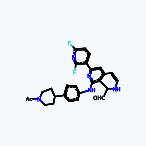 CC(=O)N1CCC(c2ccc(Nc3nc(-c4ccc(F)nc4F)cc4c3C(C=O)NC=C4)cc2)CC1